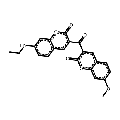 CCNc1ccc2cc(C(=O)c3cc4ccc(OC)cc4oc3=O)c(=O)oc2c1